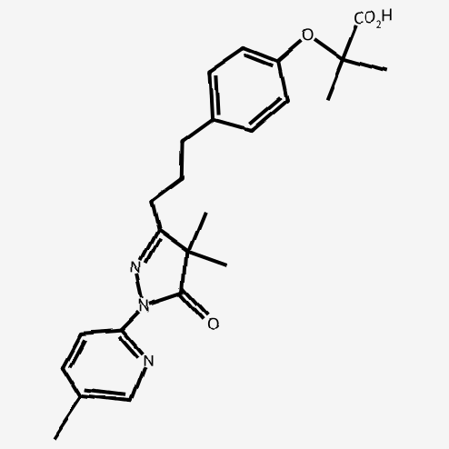 Cc1ccc(N2N=C(CCCc3ccc(OC(C)(C)C(=O)O)cc3)C(C)(C)C2=O)nc1